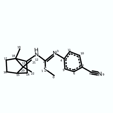 CSC(=Nc1ccc(C#N)cc1)NC1CC2CCC1(C)C2(C)C